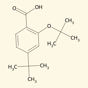 CC(C)(C)Oc1cc(C(C)(C)C)ccc1C(=O)O